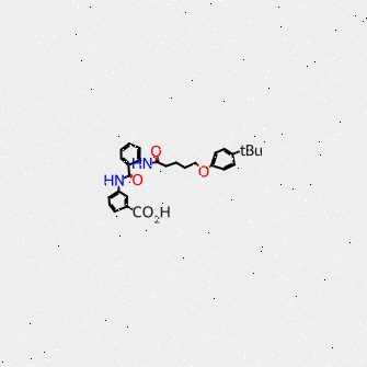 CC(C)(C)c1ccc(OCCCCC(=O)Nc2ccccc2C(=O)Nc2cccc(C(=O)O)c2)cc1